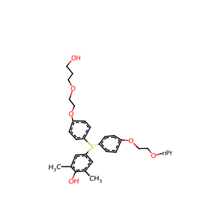 CCCOCCOc1ccc([S+](c2ccc(OCCOCCCO)cc2)c2cc(C)c(O)c(C)c2)cc1